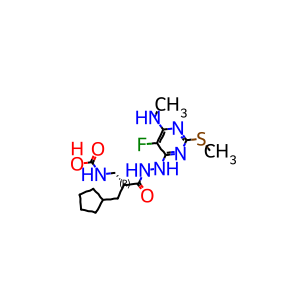 CNc1nc(SC)nc(NNC(=O)[C@@H](CNC(=O)O)CC2CCCC2)c1F